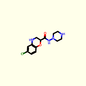 O=C(NN1CCNCC1)C1CNc2cc(Cl)ccc2O1